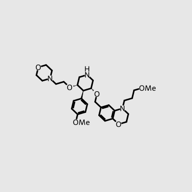 COCCCN1CCOc2ccc(CO[C@H]3CNC[C@@H](OCCN4CCOCC4)[C@@H]3c3ccc(OC)cc3)cc21